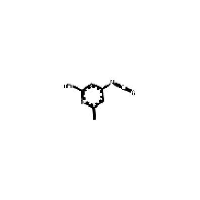 CCCc1cc(N=C=O)cc(C)n1